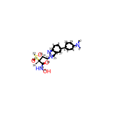 CN(C)c1ccc(-c2ccc3nn(CC[C@](C)(C(=O)NO)S(C)(=O)=O)cc3c2)cc1